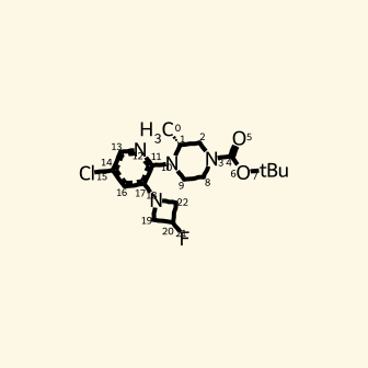 C[C@@H]1CN(C(=O)OC(C)(C)C)CCN1c1ncc(Cl)cc1N1CC(F)C1